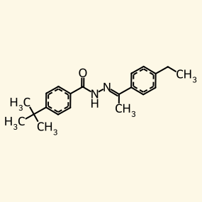 CCc1ccc(/C(C)=N/NC(=O)c2ccc(C(C)(C)C)cc2)cc1